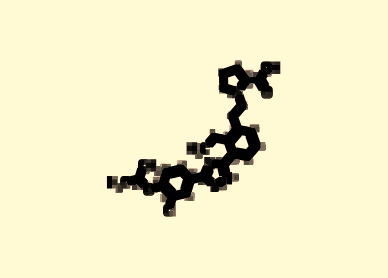 CCc1c(CCN2CCC[C@H]2C(=O)O)cccc1-c1nsc(-c2ccc(OC(C)C)c(Cl)c2)n1